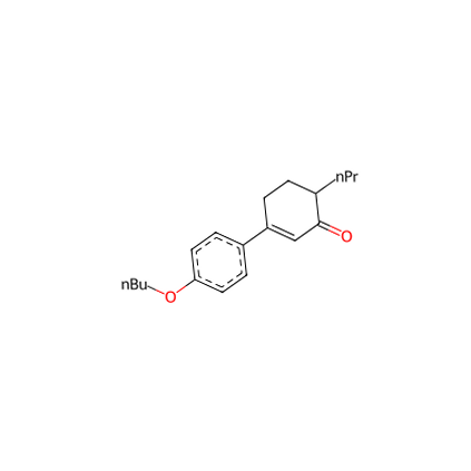 CCCCOc1ccc(C2=CC(=O)C(CCC)CC2)cc1